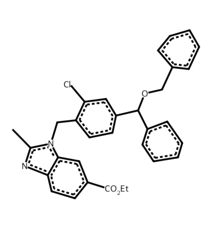 CCOC(=O)c1ccc2nc(C)n(Cc3ccc(C(OCc4ccccc4)c4ccccc4)cc3Cl)c2c1